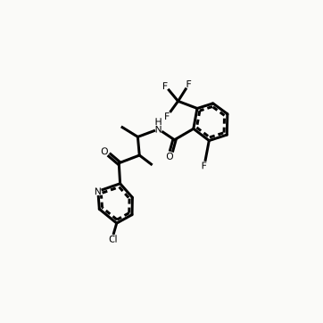 CC(NC(=O)c1c(F)cccc1C(F)(F)F)C(C)C(=O)c1ccc(Cl)cn1